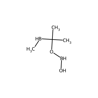 CBC(C)(C)OBO